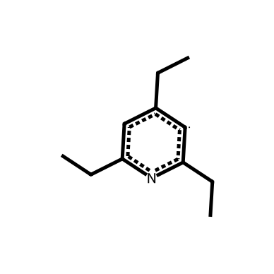 CCc1[c]c(CC)nc(CC)c1